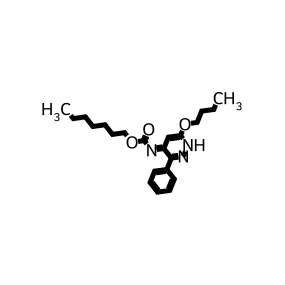 CCCCCCCOC(=O)N=c1cc(OCCCC)[nH]nc1-c1ccccc1